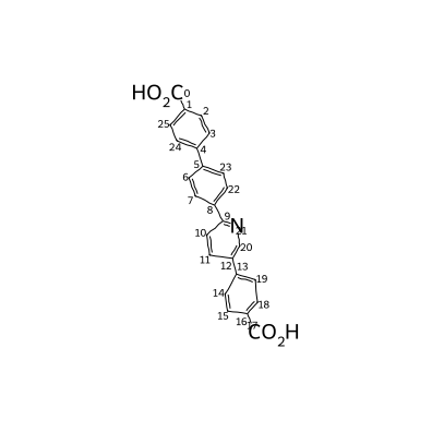 O=C(O)c1ccc(-c2ccc(-c3ccc(-c4ccc(C(=O)O)cc4)cn3)cc2)cc1